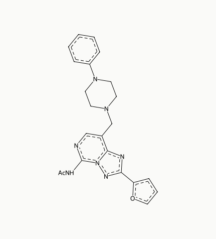 CC(=O)Nc1ncc(CN2CCN(c3ccccc3)CC2)c2nc(-c3ccco3)nn12